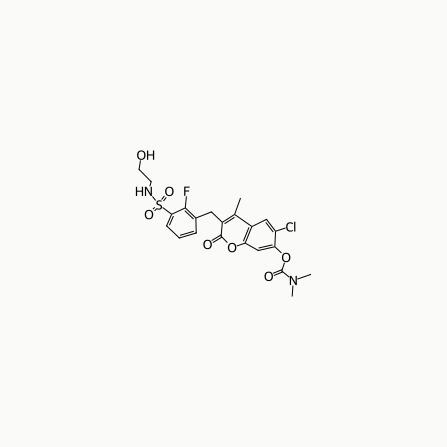 Cc1c(Cc2cccc(S(=O)(=O)NCCO)c2F)c(=O)oc2cc(OC(=O)N(C)C)c(Cl)cc12